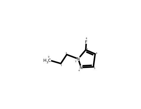 CCCn1n[c]cc1F